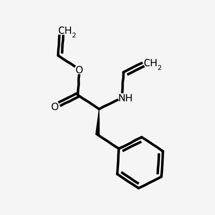 C=CN[C@@H](Cc1ccccc1)C(=O)OC=C